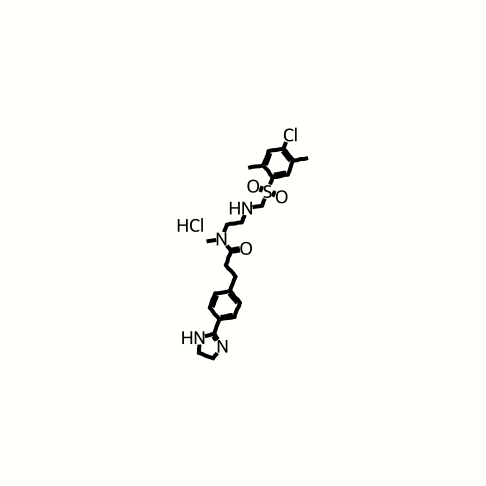 Cc1cc(S(=O)(=O)CNCCN(C)C(=O)CCc2ccc(C3=NCCN3)cc2)c(C)cc1Cl.Cl